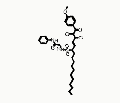 CCCCCCCCCCCC(CCC(Cl)C(Cl)C(=O)c1ccc(OC)cc1)S(=O)(=O)NCC(=O)Nc1ccccc1